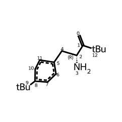 C=C([C@H](N)Cc1ccc(C(C)(C)C)cc1)C(C)(C)C